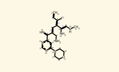 C=C/C(F)=C(\C=C(/CN)C(=N)c1cc(N2CCOCC2)ncn1)C(/N)=C/NC